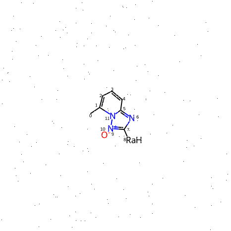 Cc1cccc2n[c]([RaH])[n+]([O-])n12